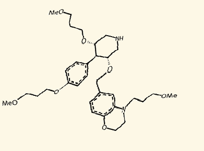 COCCCOc1ccc([C@@H]2[C@@H](OCc3ccc4c(c3)N(CCCOC)CCO4)CNC[C@H]2OCCCOC)cc1